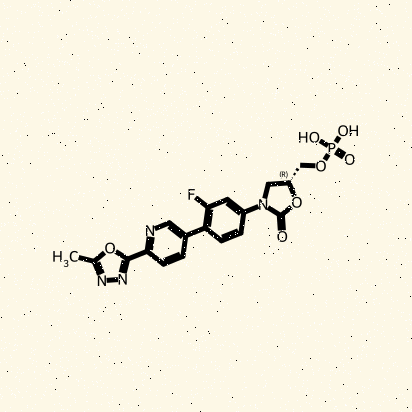 Cc1nnc(-c2ccc(-c3ccc(N4C[C@H](COP(=O)(O)O)OC4=O)cc3F)cn2)o1